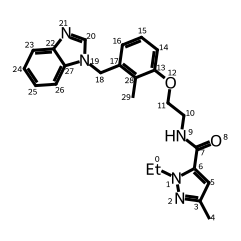 CCn1nc(C)cc1C(=O)NCCOc1cccc(Cn2cnc3ccccc32)c1C